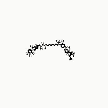 Cn1ncc(-c2nc(NC3CCC(N(CCCCCCCCNC(=O)NCc4cc5c(s4)C(=O)N(C4CCC(=O)NC4=O)C5)C(=O)O)CC3)ncc2Cl)c1CC1CC1